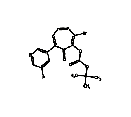 CC(C)(C)OC(=O)Oc1c(Br)cccc(-c2cncc(F)c2)c1=O